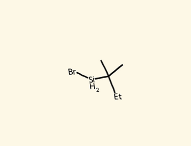 CCC(C)(C)[SiH2]Br